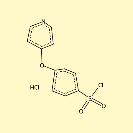 Cl.O=S(=O)(Cl)c1ccc(Oc2ccncc2)cc1